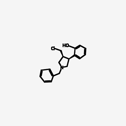 Oc1ccccc1[C@H]1CN(Cc2ccccc2)C[C@H]1CCl